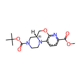 COC(=O)c1ccc2c(n1)OC[C@H]1CN(C(=O)OC(C)(C)C)CCN21